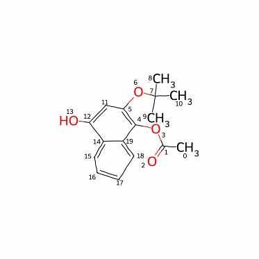 CC(=O)Oc1c(OC(C)(C)C)cc(O)c2ccccc12